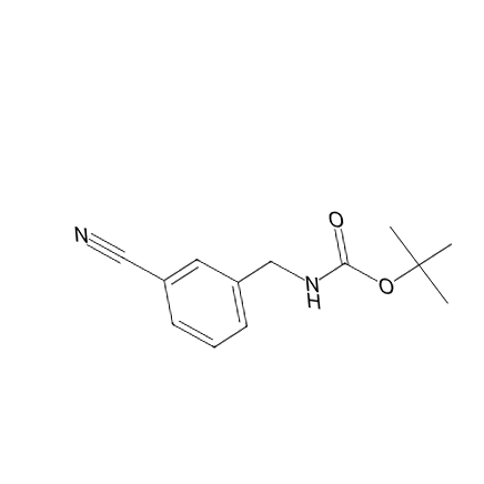 CC(C)(C)OC(=O)NCc1cccc(C#N)c1